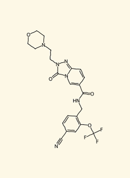 N#Cc1ccc(CNC(=O)c2ccc3nn(CCN4CCOCC4)c(=O)n3c2)c(OC(F)(F)F)c1